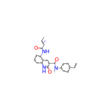 C=Cc1ccc(N(C)C(=O)c2cc3c(NC(=O)/C=C/C)cccc3[nH]c2=O)cc1